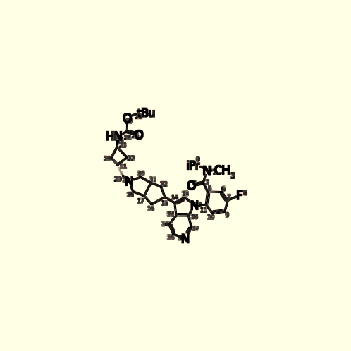 CC(C)N(C)C(=O)c1cc(F)ccc1-n1cc(C2CC3CN(C[C@H]4C[C@H](NC(=O)OC(C)(C)C)C4)CC3C2)c2ccncc21